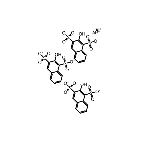 O=S(=O)([O-])c1cc2ccccc2c(S(=O)(=O)[O-])c1O.O=S(=O)([O-])c1cc2ccccc2c(S(=O)(=O)[O-])c1O.O=S(=O)([O-])c1cc2ccccc2c(S(=O)(=O)[O-])c1O.[Al+3].[Al+3]